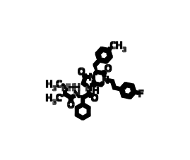 CN[C@@H](C)C(=O)N[C@H](C(=O)N1CC(=O)N2[C@@H]1CN(CCc1ccc(F)cc1)C(=O)[C@@H]2Cc1ccc(C)cc1)C1CCCCC1